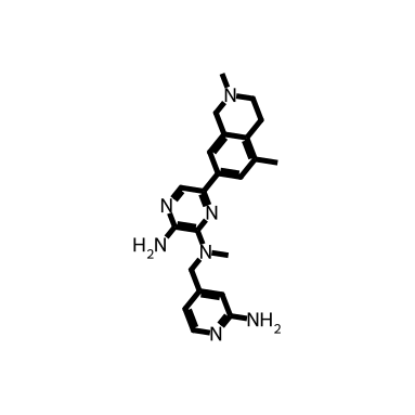 Cc1cc(-c2cnc(N)c(N(C)Cc3ccnc(N)c3)n2)cc2c1CCN(C)C2